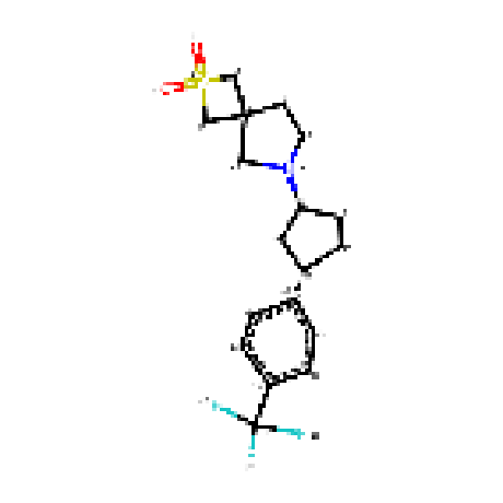 O=S1(=O)CC2(CCN([C@H]3CC[C@H](c4ccc(C(F)(F)F)cc4)C3)C2)C1